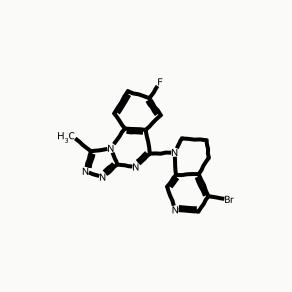 Cc1nnc2nc(N3CCCc4c(Br)cncc43)c3cc(F)ccc3n12